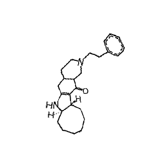 O=C1C2=C(CC3CCN(CCc4ccccc4)CC13)N[C@@H]1CCCCCC[C@@H]21